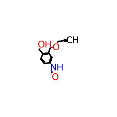 C#CCOCc1cc(NC=O)ccc1CO